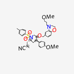 COCCCN1CCOc2ccc(CO[C@H]3CN(S(=O)(=O)c4ccc(C)cc4)[C@@H](C[C@H](C)C#N)C[C@@H]3c3ccc(OC)cc3)cc21